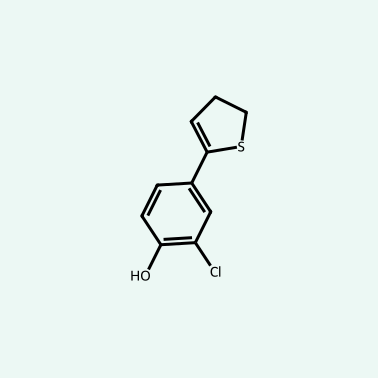 Oc1ccc(C2=CCCS2)cc1Cl